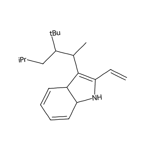 C=CC1=C(C(C)C(CC(C)C)C(C)(C)C)C2C=CC=CC2N1